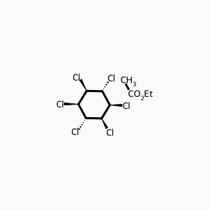 CCOC(C)=O.Cl[C@H]1[C@H](Cl)[C@@H](Cl)[C@@H](Cl)[C@H](Cl)[C@H]1Cl